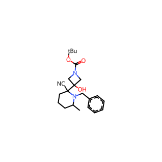 CC1CCCC(C#N)(C2(O)CN(C(=O)OC(C)(C)C)C2)N1Cc1ccccc1